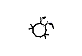 C=NC1CC(C)(C)CCCC(C)(C)CN1/N=C\C